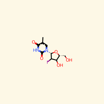 Cc1cn([C@@H]2O[C@H](CO)C(O)C2I)c(=O)[nH]c1=O